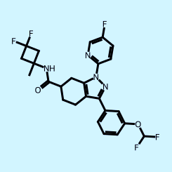 CC1(NC(=O)C2CCc3c(-c4cccc(OC(F)F)c4)nn(-c4ccc(F)cn4)c3C2)CC(F)(F)C1